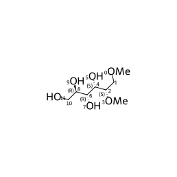 COC[C@H](OC)[C@@H](O)[C@H](O)[C@H](O)CO